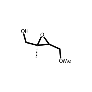 COCC1O[C@]1(C)CO